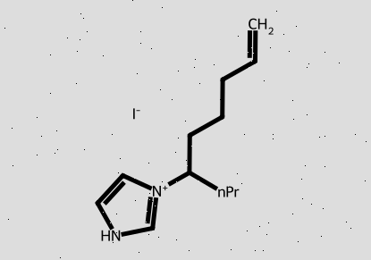 C=CCCCC(CCC)[n+]1cc[nH]c1.[I-]